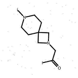 O=C(I)CN1CC2(CCN(I)CC2)C1